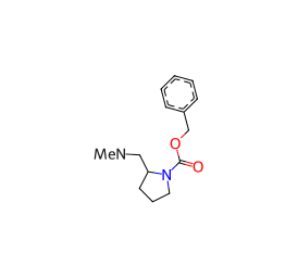 CNCC1CCCN1C(=O)OCc1ccccc1